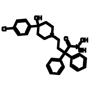 O=C(N(O)O)C(CCN1CCC(O)(c2ccc(Cl)cc2)CC1)(c1ccccc1)c1ccccc1